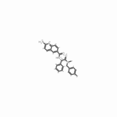 CN(Cc1ccc(F)cc1)C(=O)[C@@H](NC(=O)c1ccc2nc(N)ccc2c1)c1ccccc1